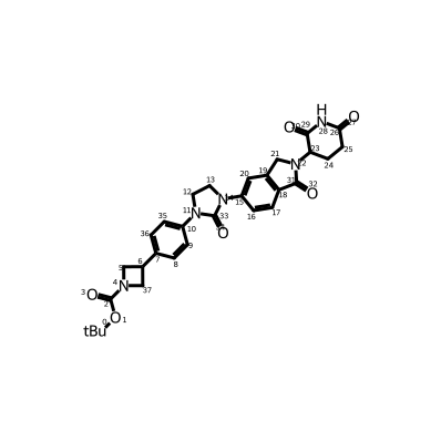 CC(C)(C)OC(=O)N1CC(c2ccc(N3CCN(c4ccc5c(c4)CN(C4CCC(=O)NC4=O)C5=O)C3=O)cc2)C1